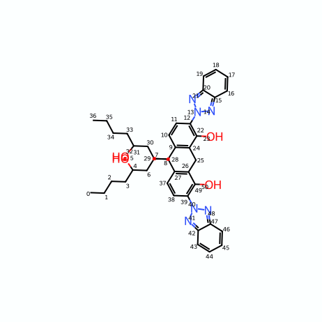 CCCCC(O)CCCc1ccc(-n2nc3ccccc3n2)c(O)c1Cc1c(CCCC(O)CCCC)ccc(-n2nc3ccccc3n2)c1O